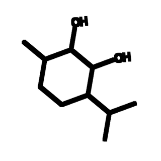 CC(C)C1CCC(C)C(O)C1O